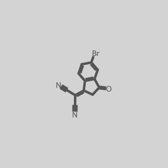 N#CC(C#N)=C1CC(=O)c2cc(Br)ccc21